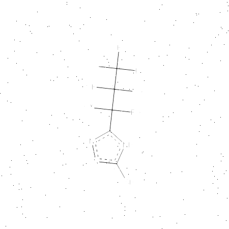 FC(F)(F)C(F)(F)C(F)(F)c1nnc(S)[nH]1